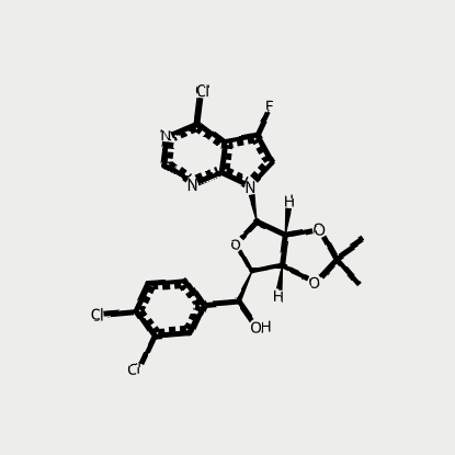 CC1(C)O[C@@H]2[C@H](O1)[C@@H](C(O)c1ccc(Cl)c(Cl)c1)O[C@H]2n1cc(F)c2c(Cl)ncnc21